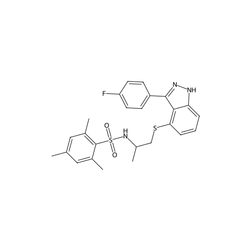 Cc1cc(C)c(S(=O)(=O)NC(C)CSc2cccc3[nH]nc(-c4ccc(F)cc4)c23)c(C)c1